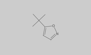 CC(C)(C)c1c[c]no1